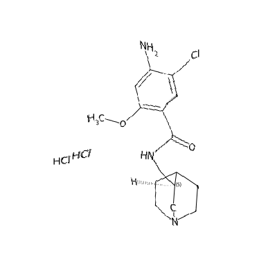 COc1cc(N)c(Cl)cc1C(=O)N[C@@H]1CN2CCC1CC2.Cl.Cl